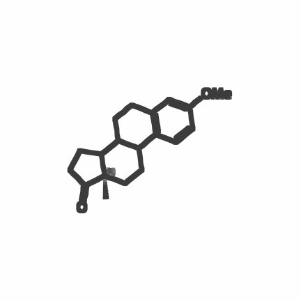 COc1ccc2c(c1)CCC1C2CC[C@@]2(C)C(=O)CCC12